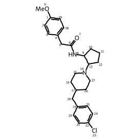 COc1ccc(CC(=O)NC2CCCC2N2CCC(Cc3ccc(Cl)cc3)CC2)cc1